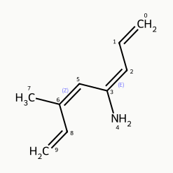 C=C/C=C(N)\C=C(\C)C=C